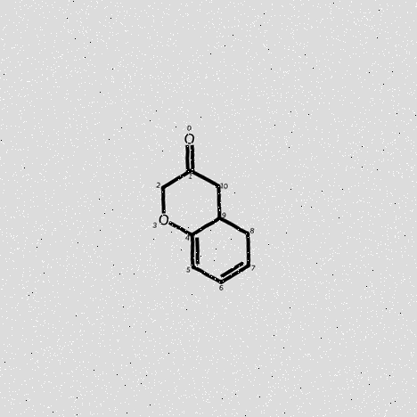 O=C1COC2=CC=CCC2C1